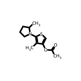 CC(=O)Oc1csc(N2CCCC2C)c1C